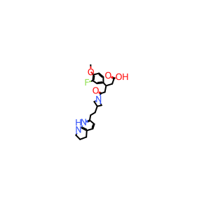 COc1ccc(C(CC(=O)O)CC(=O)N2CC(CCc3ccc4c(n3)NCCC4)C2)cc1F